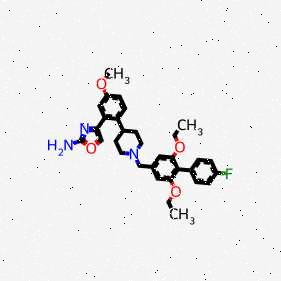 CCOc1cc(CN2CCC(c3ccc(OC)cc3-c3coc(N)n3)CC2)cc(OCC)c1-c1ccc(F)cc1